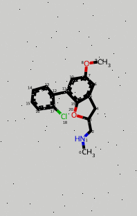 CNCC1Cc2cc(OC)cc(-c3ccccc3Cl)c2O1